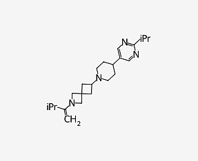 C=C(C(C)C)N1CC2(CC(N3CCC(c4cnc(C(C)C)nc4)CC3)C2)C1